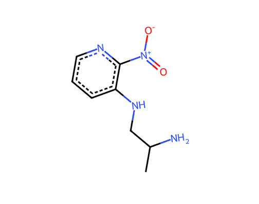 CC(N)CNc1cccnc1[N+](=O)[O-]